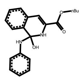 CCCCOC(=O)C1=Cc2ccccc2C(O)(Nc2ccccc2)N1